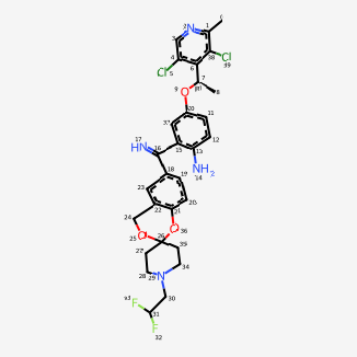 Cc1ncc(Cl)c([C@@H](C)Oc2ccc(N)c(C(=N)c3ccc4c(c3)COC3(CCN(CC(F)F)CC3)O4)c2)c1Cl